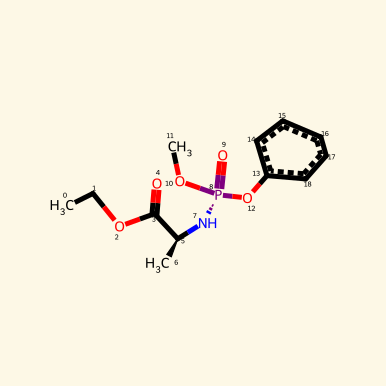 CCOC(=O)[C@H](C)N[P@@](=O)(OC)Oc1ccccc1